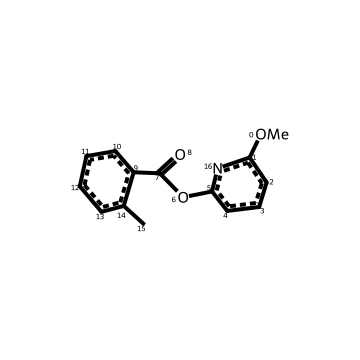 COc1cccc(OC(=O)c2ccccc2C)n1